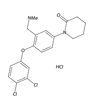 CNCc1cc(N2CCCCC2=O)ccc1Oc1ccc(Cl)c(Cl)c1.Cl